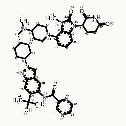 CN(C[C@H]1CC[C@H](n2cc3cc(NC(=O)c4cnccn4)c(C(C)(C)O)cc3n2)CC1)C1CCN(c2cccc3c2n(C)c(=O)n3C2CCC(=O)NC2=O)CC1